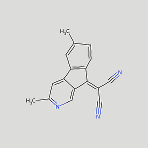 Cc1ccc2c(c1)-c1cc(C)ncc1C2=C(C#N)C#N